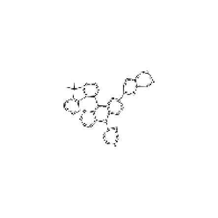 CC1(C)c2ccccc2-c2c(-c3c4ccccc4c(-c4ccncn4)c4ccc(-c5ccc6ccccc6c5)cc34)cccc21